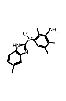 Cc1ccc2[nH]c([S+]([O-])c3cc(C)c(C)c(N)c3C)nc2c1